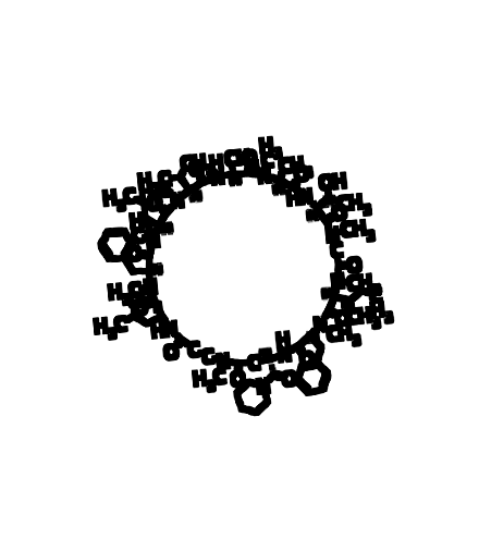 CCC[C@H]1C(=O)N(C)[C@@H](C(C)C)C(=O)N[C@@H](C)C(=O)N(C)[C@@H](C)C(=O)N[C@@H]([C@@H](C)O)C(=O)N(C)CC(=O)N(C)[C@@H]([C@@H](C)CC)C(=O)N(C)[C@@H](Cc2ccccc2)C(=O)N[C@H](C(=O)N2CCCCC2)CC(=O)N(C)CCC(=O)NC(CC(C)C)C(=O)N(C)[C@@H](Cc2ccccc2)C(=O)N1C